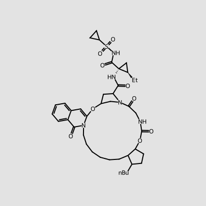 CCCCC1CCC2OC(=O)NCC(=O)N3CC(CC3C(=O)N[C@]3(C(=O)NS(=O)(=O)C4CC4)C[C@H]3CC)Oc3cc4ccccc4c(=O)n3CCCCCCC12